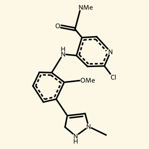 CNC(=O)c1cnc(Cl)cc1Nc1cccc(C2=CN(C)NC2)c1OC